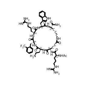 CC(=O)N[C@@H](CCCNC(=N)N)C(=O)N[C@H]1CCC(=O)NCCC[C@@H](C(N)=O)NC(=O)[C@H](Cc2c[nH]c3ccccc23)NC(=O)[C@H](CCCNC(=N)N)NC(=O)[C@@H](Cc2ccccc2C(F)(F)F)NC(=O)[C@H](CCN)NC1=O